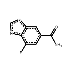 NC(=O)c1cc(F)c2ncsc2c1